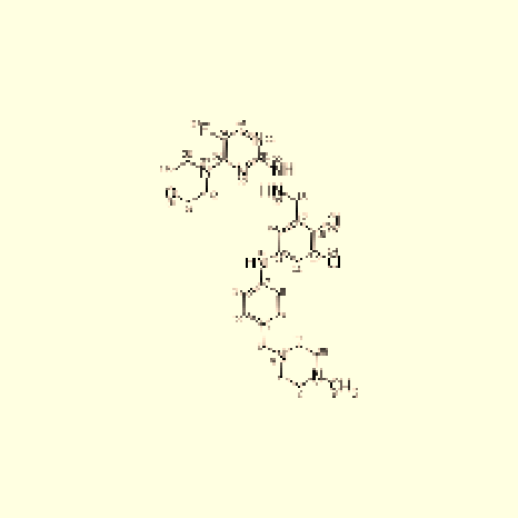 CN1CCN(Cc2ccc(Nc3cc(Cl)c(O)c(CNNc4ncc(F)c(N5CCOCC5)n4)c3)cc2)CC1